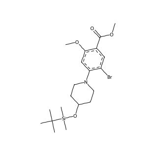 COC(=O)c1cc(Br)c(N2CCC(O[Si](C)(C)C(C)(C)C)CC2)cc1OC